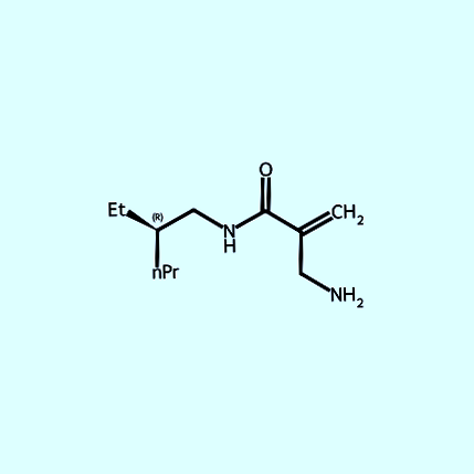 C=C(CN)C(=O)NC[C@H](CC)CCC